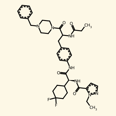 CCC(=O)NC(Cc1ccc(NC(=O)[C@@H](NC(=O)c2ccnn2CC)C2CCC(F)(F)CC2)cc1)C(=O)N1CCN(Cc2ccccc2)CC1